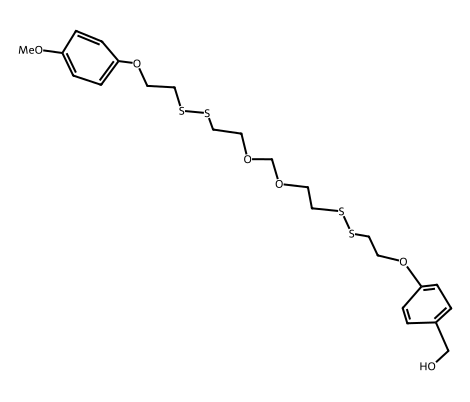 COc1ccc(OCCSSCCOCOCCSSCCOc2ccc(CO)cc2)cc1